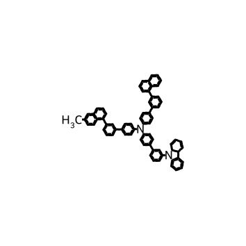 Cc1ccc2c(-c3cccc(-c4ccc(N(c5ccc(-c6cccc(-c7cccc8ccccc78)c6)cc5)c5ccc(-c6cccc(N7c8ccccc8C8C=CC=CC87)c6)cc5)cc4)c3)cccc2c1